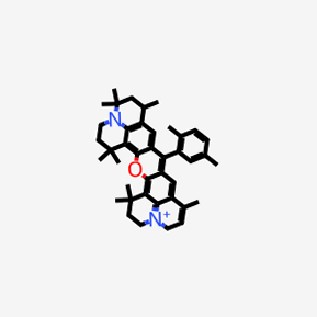 CC1=CC[N+]2=c3c1cc1c(c3C(C)(C)CC2)Oc2c(cc3c4c2C(C)(C)CCN4C(C)(C)CC3C)C=1c1cc(C)ccc1C